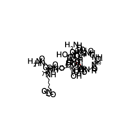 CC[C@H](C)[C@@H]1NC(=O)CNC(=O)[C@H]2Cc3c([nH]c4cc(OCc5ccc(NC(=O)[C@H](CCCNC(N)=O)NC(=O)[C@H](NCCCCCCN6C(=O)C=CC6=O)C(C)C)cc5)ccc34)[S+]([O-])C[C@H](NC(=O)CNC1=O)C(=O)N[C@@H](CC(N)=O)C(=O)N1C[C@H](O)C[C@H]1C(=O)N[C@@H]([C@@H](C)[C@@H](O)CO)C(=O)N2